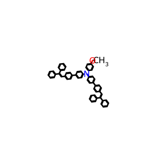 COc1ccc(N(c2ccc(-c3ccc(C=C(c4ccccc4)c4ccccc4)cc3)cc2)c2ccc(-c3ccc(C=C(c4ccccc4)c4ccccc4)cc3)cc2)cc1